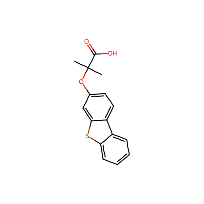 CC(C)(Oc1ccc2c(c1)sc1ccccc12)C(=O)O